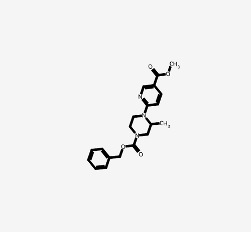 COC(=O)c1ccc(N2CCN(C(=O)OCc3ccccc3)CC2C)nc1